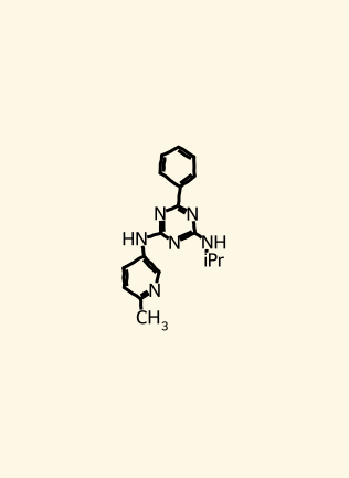 Cc1ccc(Nc2nc(NC(C)C)nc(-c3ccccc3)n2)cn1